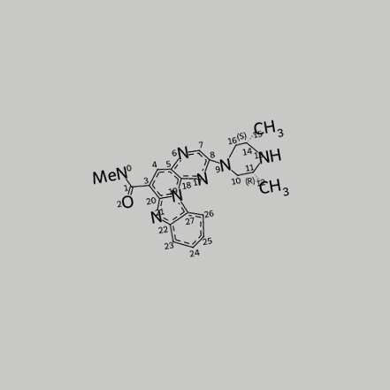 CNC(=O)c1cc2ncc(N3C[C@@H](C)N[C@@H](C)C3)nc2n2c1nc1ccccc12